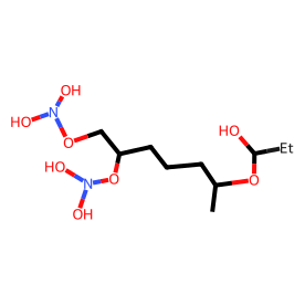 CCC(O)OC(C)CCCC(CON(O)O)ON(O)O